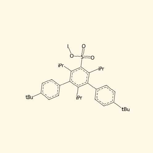 CC(C)c1c(-c2ccc(C(C)(C)C)cc2)c(C(C)C)c(S(=O)(=O)OI)c(C(C)C)c1-c1ccc(C(C)(C)C)cc1